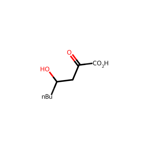 CCCCC(O)CC(=O)C(=O)O